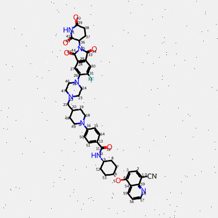 N#Cc1ccc(O[C@H]2CC[C@H](NC(=O)c3ccc(N4CCC(CN5CCN(c6cc7c(cc6F)C(=O)N(C6CCC(=O)NC6=O)C7=O)CC5)CC4)cc3)CC2)c2cccnc12